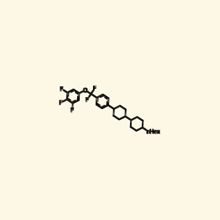 CCCCCCC1CCC(C2CCC(c3ccc(C(F)(F)Oc4cc(F)c(F)c(F)c4)cc3)CC2)CC1